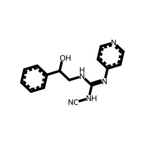 N#CNC(=Nc1ccncc1)NCC(O)c1ccccc1